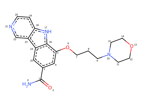 NC(=O)c1cc(OCCCN2CCOCC2)c2[nH]c3ccncc3c2c1